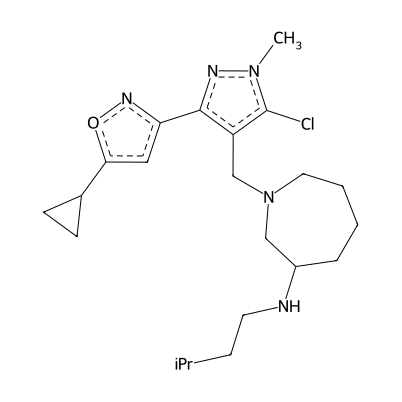 CC(C)CCNC1CCCCN(Cc2c(-c3cc(C4CC4)on3)nn(C)c2Cl)C1